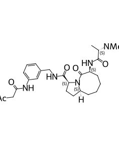 CN[C@@H](C)C(=O)N[C@H]1CCCC[C@H]2CC[C@@H](C(=O)NCc3cccc(NC(=O)CC(C)=O)c3)N2C1=O